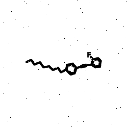 CCCCCCCCCc1ccc(C#Cc2ccccc2F)cc1